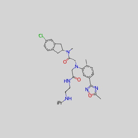 Cc1nc(-c2ccc(C)c(N(CC(=O)NCCNC(C)C)CC(=O)N(C)C3Cc4ccc(Cl)cc4C3)c2)no1